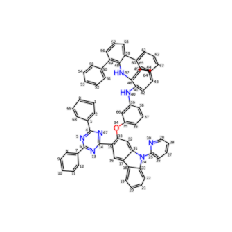 c1ccc(-c2nc(-c3ccccc3)nc(-c3cc4c5ccccc5n(-c5ccccn5)c4cc3Oc3cccc(Nc4ccccc4Nc4c(-c5ccccc5)cccc4-c4ccccc4)c3)n2)cc1